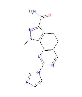 Cn1nc(C(N)=O)c2c1-c1nc(-n3ccnc3)ncc1CC2